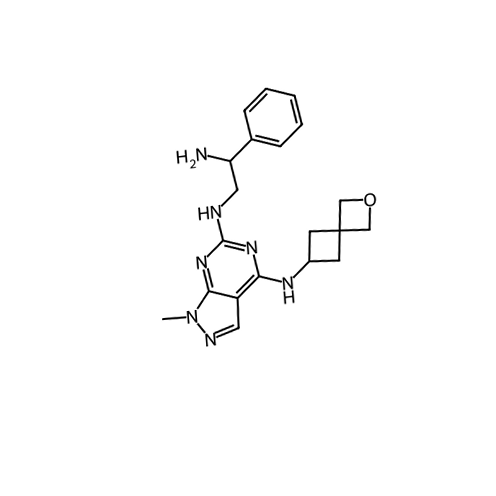 Cn1ncc2c(NC3CC4(COC4)C3)nc(NCC(N)c3ccccc3)nc21